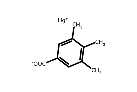 Cc1cc(C(=O)[O-])cc(C)c1C.[Hg+]